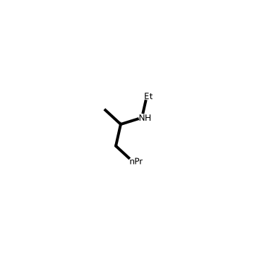 CCCC[C](C)NCC